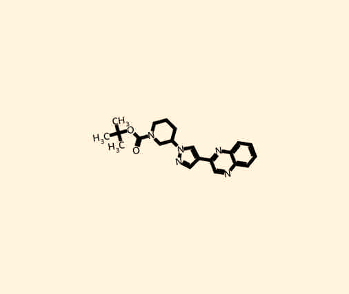 CC(C)(C)OC(=O)N1CCCC(n2cc(-c3cnc4ccccc4n3)cn2)C1